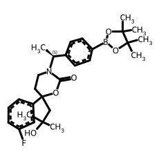 C[C@@H](c1ccc(B2OC(C)(C)C(C)(C)O2)cc1)N1CCC(CC(C)(C)O)(c2cccc(F)c2)OC1=O